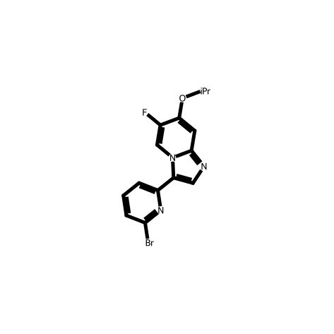 CC(C)Oc1cc2ncc(-c3cccc(Br)n3)n2cc1F